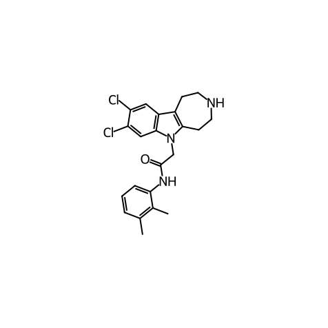 Cc1cccc(NC(=O)Cn2c3c(c4cc(Cl)c(Cl)cc42)CCNCC3)c1C